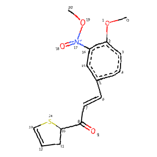 COc1ccc(/C=C/C(=O)C2CC=CS2)cc1[N+](=O)OC